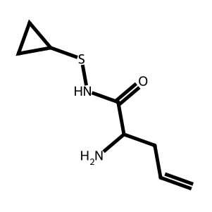 C=CCC(N)C(=O)NSC1CC1